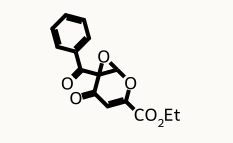 CCOC(=O)C1=CC(=O)C2(C(=O)c3ccccc3)OC2O1